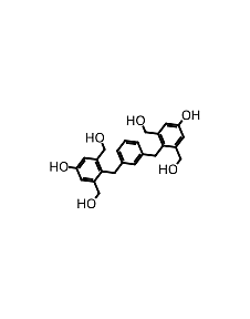 OCc1cc(O)cc(CO)c1Cc1cccc(Cc2c(CO)cc(O)cc2CO)c1